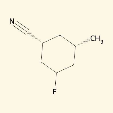 C[C@@H]1CC(F)C[C@H](C#N)C1